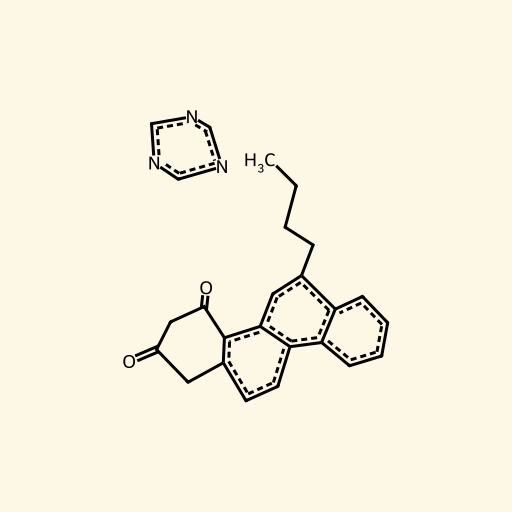 CCCCc1cc2c3c(ccc2c2ccccc12)CC(=O)CC3=O.c1ncncn1